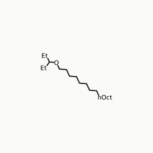 [CH2]CC(CC)OCCCCCCCCCCCCCCCC